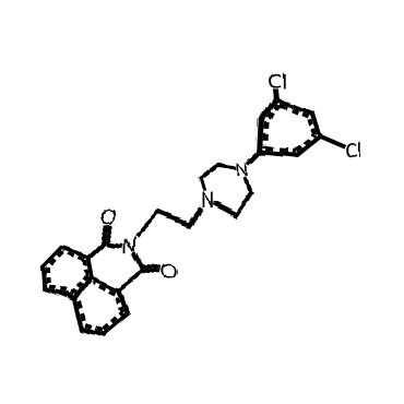 O=C1c2cccc3cccc(c23)C(=O)N1CCN1CCN(c2cc(Cl)cc(Cl)c2)CC1